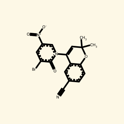 CC1(C)C=C(n2cc([N+](=O)[O-])cc(Br)c2=O)c2cc(C#N)ccc2O1